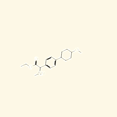 CCOC(=O)C(NC)c1ccc(C2CCC(OC)CC2)cc1